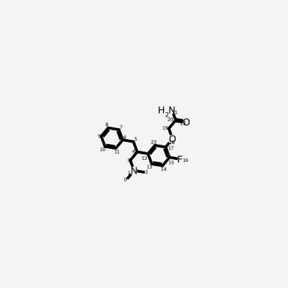 CN(C)CC(Cc1ccccc1)c1ccc(F)c(OCC(N)=O)c1